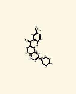 Nc1ccc(F)c(C(=O)c2ccc3ncc(N4CCCCC4)nc3c2)c1